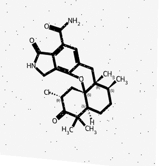 C[C@H]1CC[C@H]2C(C)(C)C(=O)[C@H](Cl)C[C@]23Oc2c(cc(C(N)=O)c4c2CNC4=O)C[C@]13C